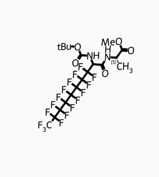 COC(=O)[C@H](C)NC(=O)C(NC(=O)OC(C)(C)C)C(F)(F)C(F)(F)C(F)(F)C(F)(F)C(F)(F)C(F)(F)C(F)(F)C(F)(F)F